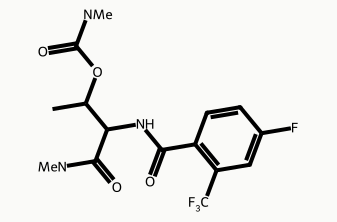 CNC(=O)OC(C)C(NC(=O)c1ccc(F)cc1C(F)(F)F)C(=O)NC